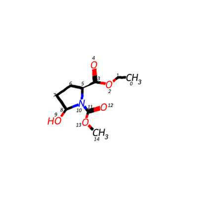 CCOC(=O)[C@@H]1CCC(O)N1C(=O)OC